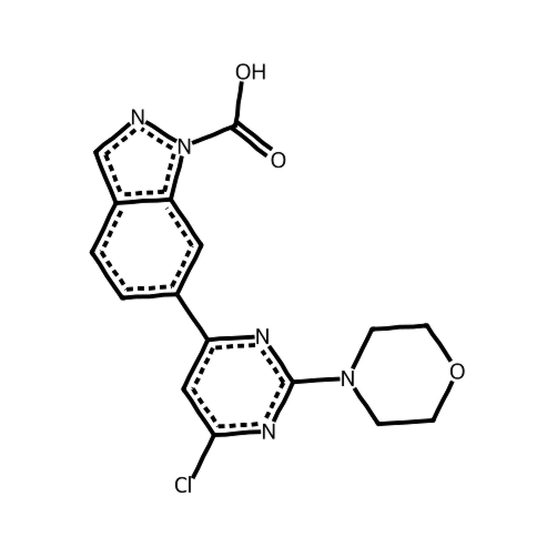 O=C(O)n1ncc2ccc(-c3cc(Cl)nc(N4CCOCC4)n3)cc21